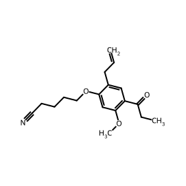 C=CCc1cc(C(=O)CC)c(OC)cc1OCCCCC#N